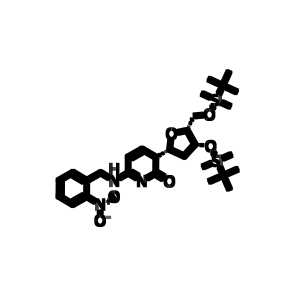 CC(C)(C)[Si](C)(C)OC[C@H]1O[C@@H](C2C=CC(NCc3ccccc3[N+](=O)[O-])=NC2=O)C[C@H]1O[Si](C)(C)C(C)(C)C